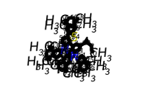 CCCC1CC1c1cc2c3c(c1)N(c1ccc4c(c1)C(C)(C)CCC4(C)C)c1cc4c(cc1B3N(c1ccc3c(c1)C(C)(C)CCC3(C)C)c1ccc3c(sc5cc6c(cc53)C(C)(C)CCC6(C)C)c1-2)C(C)(C)CCC4(C)C